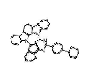 C1=CC2c3ccc4c5ccccc5n(-c5nc(-c6ccccc6)nc(-c6ccc(-c7ccccc7)cc6)n5)c4c3N(c3ccccc3)C2C=C1